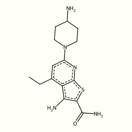 CCc1cc(N2CCC(N)CC2)nc2sc(C(N)=O)c(N)c12